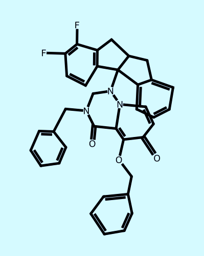 O=C1c2c(OCc3ccccc3)c(=O)ccn2N(C23c4ccccc4CC2Cc2c3ccc(F)c2F)CN1Cc1ccccc1